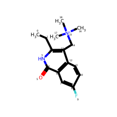 CCc1[nH]c(=O)c2cc(F)ccc2c1C[N+](C)(C)C